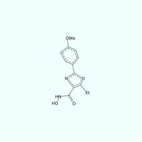 CCc1oc(-c2ccc(OC)cc2)nc1C(=O)NO